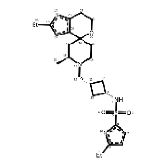 CCc1ccc(S(=O)(=O)N[C@H]2C[C@@H](CN3CC[C@]4(C[C@@H]3C)OCCc3sc(CC)cc34)C2)s1